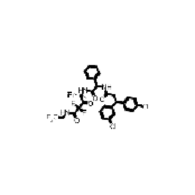 CC(C)[C@H](NC(=O)C(NC(=O)CC(c1ccc(Cl)cc1)c1cccc(Cl)c1)c1ccccc1)C(=O)C(F)(F)C(=O)NCC(F)(F)F